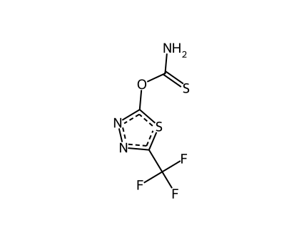 NC(=S)Oc1nnc(C(F)(F)F)s1